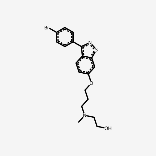 CN(CCO)CCCOc1ccc2c(-c3ccc(Br)cc3)nsc2c1